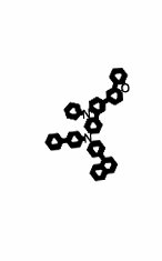 c1ccc(-c2ccc(N(c3ccc(-c4cccc5ccccc45)cc3)c3ccc4c5cc(-c6ccc7oc8ccccc8c7c6)ccc5n(-c5ccccc5)c4c3)cc2)cc1